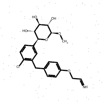 CO[C@H]1O[C@@H](c2ccc(Cl)c(Cc3ccc(OCC=N)cc3)c2)[C@H](O)[C@@H](O)[C@@H]1O